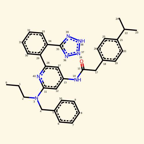 CCCN(Cc1ccccc1)c1cc(NC(=O)Cc2ccc(C(C)C)cc2)cc(-c2ccccc2-c2nn[nH]n2)n1